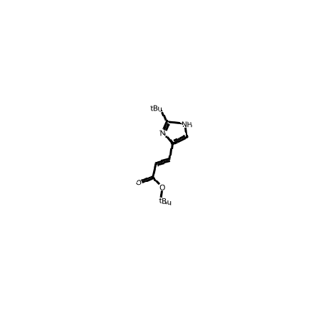 CC(C)(C)OC(=O)C=Cc1c[nH]c(C(C)(C)C)n1